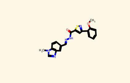 COc1ccccc1-c1cc(C(=O)N/N=C/c2ccc3c(c2)ncn3C)sn1